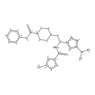 CCN(CC)c1nnc(C(CC2CCN(C(=O)Oc3ccccc3)CC2)NC(=O)c2ccc(Cl)s2)o1